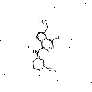 CCc1ccn2c(N[C@@H]3CCCN(C)C3)nnc(Cl)c12